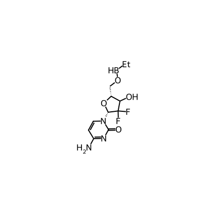 CCBOC[C@H]1O[C@@H](n2ccc(N)nc2=O)C(F)(F)C1O